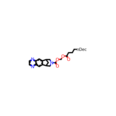 CCCCCCCCCCCCCC(=O)OCOC(=O)N1CC2CC(C1)c1cc3nccnc3cc12